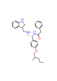 CCCC(C)COc1ccc([C@H](CNCC2CNc3ccccc32)NC(=O)[C@@H](C)c2ccccc2)cc1